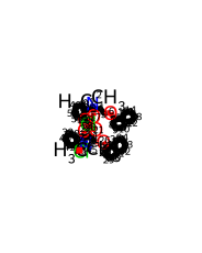 CN(C)C(CCOc1cccc2ccccc12)(OC(=O)C(=O)OC(CCOc1cccc2ccccc12)(c1ccccc1Cl)N(C)C)c1ccccc1Cl